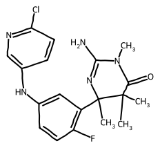 CN1C(=O)C(C)(C)C(C)(c2cc(Nc3ccc(Cl)nc3)ccc2F)N=C1N